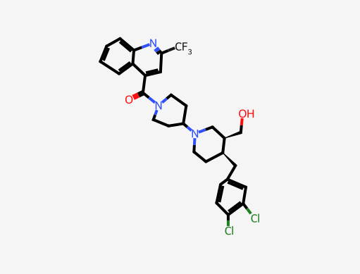 O=C(c1cc(C(F)(F)F)nc2ccccc12)N1CCC(N2CC[C@H](Cc3ccc(Cl)c(Cl)c3)[C@H](CO)C2)CC1